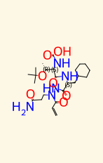 C=CC(=O)N(CCC(N)=O)NC(=O)[C@H](CC1CCCCC1)NC(=O)[C@@H](NC(=O)O)[C@@H](C)OC(C)(C)C